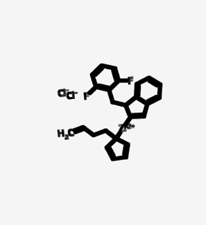 C=CCC[C]1([Zr+2][C]2=Cc3ccccc3C2Cc2c(F)cccc2F)C=CC=C1.[Cl-].[Cl-]